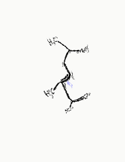 C/C(=C\CC(C)N)C(=O)O